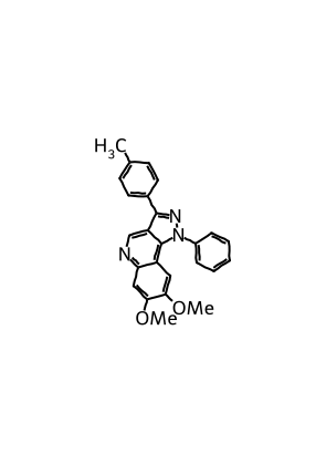 COc1cc2ncc3c(-c4ccc(C)cc4)nn(-c4ccccc4)c3c2cc1OC